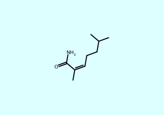 CC(=CCCC(C)C)C(N)=O